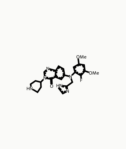 COc1cc(OC)c(F)c(N(Cc2ncc[nH]2)c2ccc3ncn(C4CCNCC4)c(=O)c3c2)c1